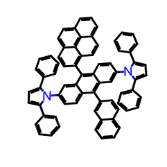 c1ccc(-c2ccc(-c3ccccc3)n2-c2ccc3c(-c4ccc5ccc6cccc7ccc4c5c67)c4cc(-n5c(-c6ccccc6)ccc5-c5ccccc5)ccc4c(-c4ccc5ccccc5c4)c3c2)cc1